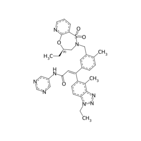 CC[C@@H]1CN(Cc2cc(C(=CC(=O)Nc3cncnc3)c3ccc4c(nnn4CC)c3C)ccc2C)S(=O)(=O)c2cccnc2O1